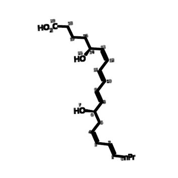 CCC/C=C/C=C\C[C@@H](O)/C=C/C=C/C=C\[C@@H](O)CCCC(=O)O